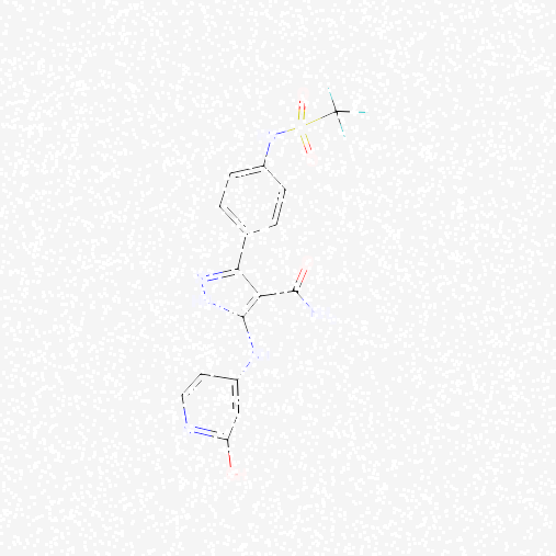 NC(=O)c1c(-c2ccc(NS(=O)(=O)C(F)(F)F)cc2)n[nH]c1Nc1ccnc(O)c1